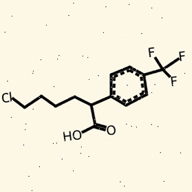 O=C(O)C(CCCCCl)c1ccc(C(F)(F)F)cc1